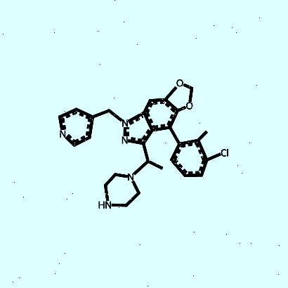 Cc1c(Cl)cccc1-c1c2c(cc3c1c(C(C)N1CCNCC1)nn3Cc1ccncc1)OCO2